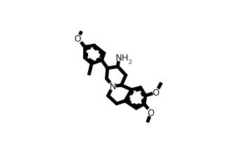 COc1ccc(C2CN3CCc4cc(OC)c(OC)cc4C3CC2N)c(C)c1